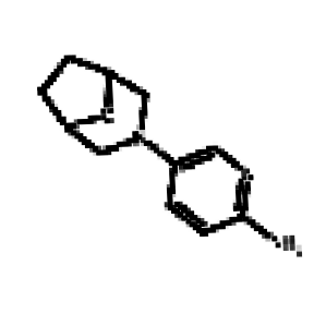 Nc1ccc(N2CC3CCC(C2)O3)cn1